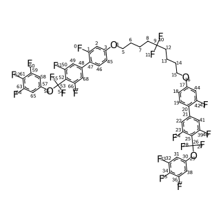 Fc1cc(OCCCCC(F)(F)CCCCOc2ccc(-c3cc(F)c(C(F)(F)Oc4cc(F)c(F)c(F)c4)c(F)c3)c(F)c2)ccc1-c1cc(F)c(C(F)(F)Oc2cc(F)c(F)c(F)c2)c(F)c1